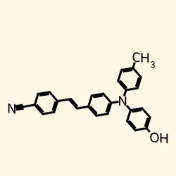 Cc1ccc(N(c2ccc(O)cc2)c2ccc(C=Cc3ccc(C#N)cc3)cc2)cc1